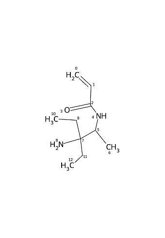 C=CC(=O)NC(C)C(N)(CC)CC